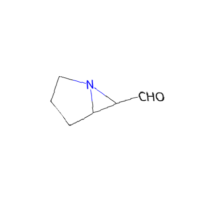 O=CC1C2CCCN12